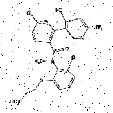 CN(C(=O)c1ccc(Cl)cc1-c1cnc(C(F)(F)F)cc1C#N)c1c(Cl)cccc1OCCC(=O)O